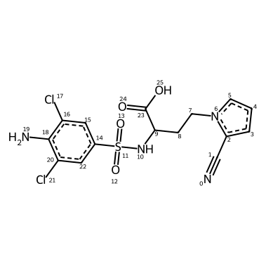 N#Cc1cccn1CCC(NS(=O)(=O)c1cc(Cl)c(N)c(Cl)c1)C(=O)O